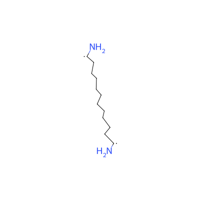 N[CH]CCCCCCCCCC[CH]N